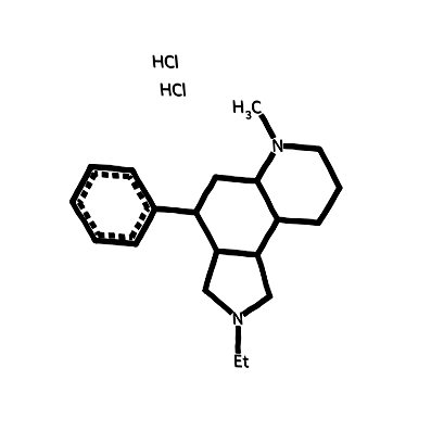 CCN1CC2C(c3ccccc3)CC3C(CCCN3C)C2C1.Cl.Cl